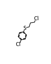 ClCCCSc1ccc(Cl)cc1